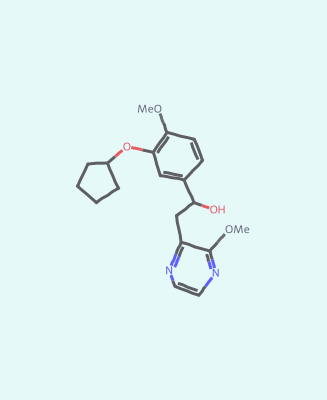 COc1ccc(C(O)Cc2nccnc2OC)cc1OC1CCCC1